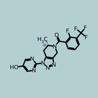 C[C@H]1Cc2c(nnn2-c2ncc(O)cn2)CN1C(=O)c1cccc(C(F)(F)F)c1F